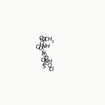 COc1cc(NC(=O)CCN2CCC(OC(=O)Nc3ccsc3-c3cccc(Cl)c3)CC2)c(Cl)cc1C=O